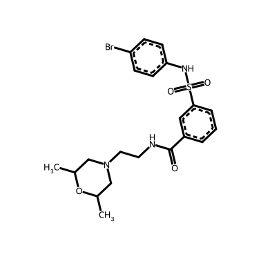 CC1CN(CCNC(=O)c2cccc(S(=O)(=O)Nc3ccc(Br)cc3)c2)CC(C)O1